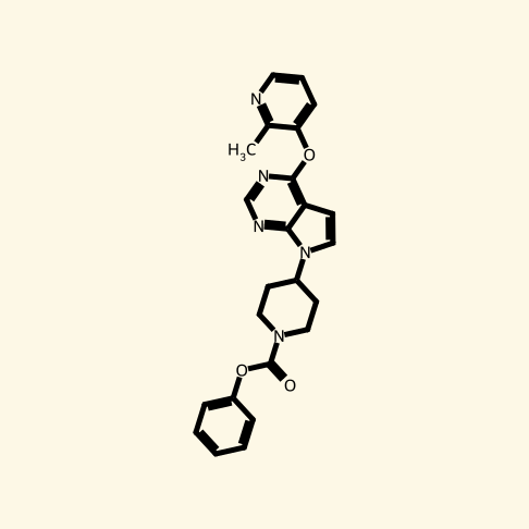 Cc1ncccc1Oc1ncnc2c1ccn2C1CCN(C(=O)Oc2ccccc2)CC1